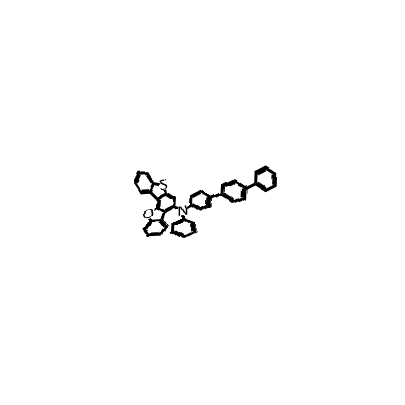 c1ccc(-c2ccc(-c3ccc(N(c4ccccc4)c4cc5sc6ccccc6c5c5oc6ccccc6c45)cc3)cc2)cc1